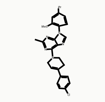 CSc1cc(C(C)C)ccc1-n1cnc2c(N3CC=C(c4ccc(Cl)cc4)CC3)nc(C)nc21